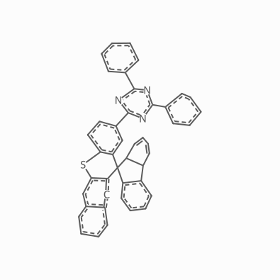 C1=CC2c3ccccc3C3(c4cc(-c5nc(-c6ccccc6)nc(-c6ccccc6)n5)ccc4Sc4cc5ccccc5cc43)C2C=C1